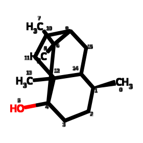 C[C@H]1CCC2(O)C(C)(C)C3CCC2(C)C1C3